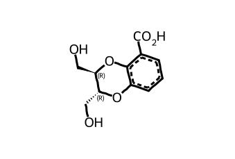 O=C(O)c1cccc2c1O[C@H](CO)[C@@H](CO)O2